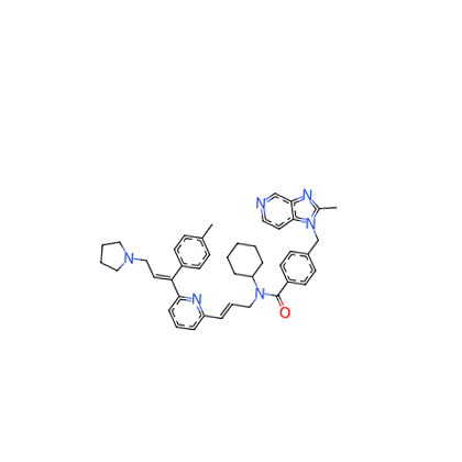 Cc1ccc(/C(=C\CN2CCCC2)c2cccc(/C=C/CN(C(=O)c3ccc(Cn4c(C)nc5cnccc54)cc3)C3CCCCC3)n2)cc1